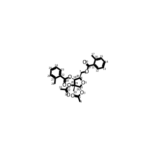 CC(=O)O[C@H]1O[C@H](COC(=O)c2ccccc2C)[C@@H](OC(=O)c2ccccc2C)[C@@]1(C)OC(C)=O